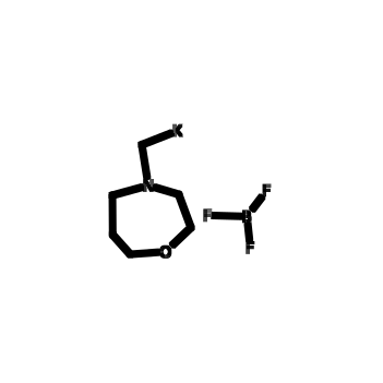 FB(F)F.[K][CH2]N1CCCOCC1